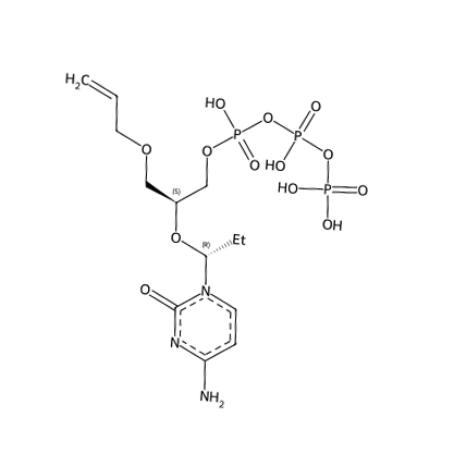 C=CCOC[C@@H](COP(=O)(O)OP(=O)(O)OP(=O)(O)O)O[C@H](CC)n1ccc(N)nc1=O